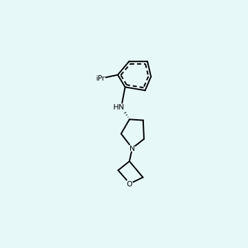 CC(C)c1ccccc1N[C@@H]1CCN(C2COC2)C1